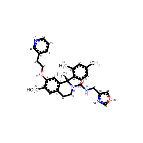 Cc1ccc(C2(C)c3cc(OCCc4cccnc4)c(C(=O)O)cc3CCN2C(=O)NCc2cocn2)c(C)c1